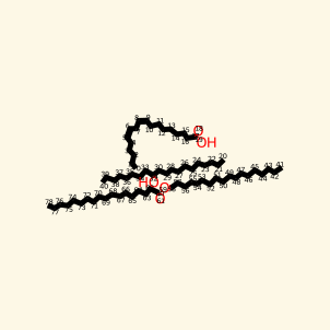 CCCCC/C=C\C/C=C\CCCCCCCC(=O)O.CCCCCCCCCCCC(O)CCCCCCCC.CCCCCCCCCCCCCCCCCCOC(=O)CCCCCCCCCCCCCCCCC